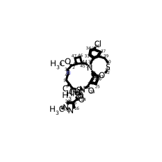 COC1/C=C/CC(C)C(C)S(=O)(NC(=O)c2cnn(C)c2)=NC(=O)c2ccc3c(c2)N(Cc2ccc(Cl)cc2CCSCO3)CC2CCC21